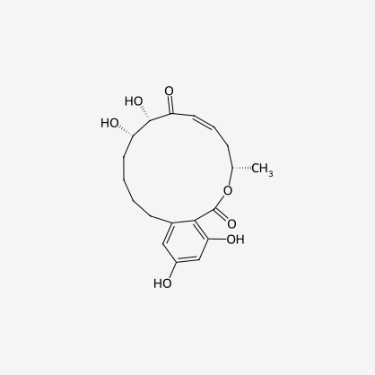 C[C@H]1C/C=C\C(=O)[C@@H](O)[C@@H](O)CCCCc2cc(O)cc(O)c2C(=O)O1